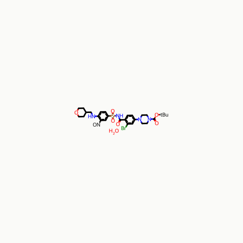 CC(C)(C)OC(=O)N1CCN(c2ccc(C(=O)NS(=O)(=O)c3ccc(NCC4CCOCC4)c(N=O)c3)c(Br)c2)CC1.O